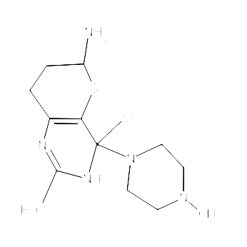 CC1=NC2=C(SC(N)CC2)C(C)(N2CCN(C=O)CC2)N1